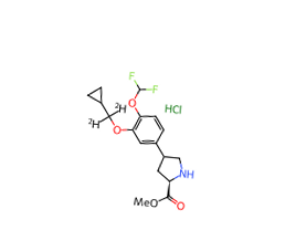 Cl.[2H]C([2H])(Oc1cc(C2CN[C@@H](C(=O)OC)C2)ccc1OC(F)F)C1CC1